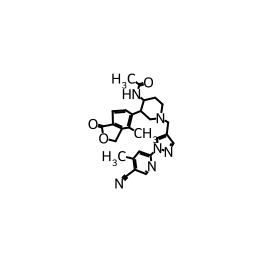 CC(=O)NC1CCN(Cc2cnn(-c3cc(C)c(C#N)cn3)c2)CC1c1ccc2c(c1C)COC2=O